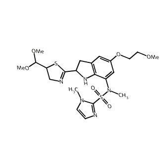 COCCOc1cc2c(c(N(C)S(=O)(=O)c3nccn3C)c1)NC(C1=NCC(C(OC)OC)S1)C2